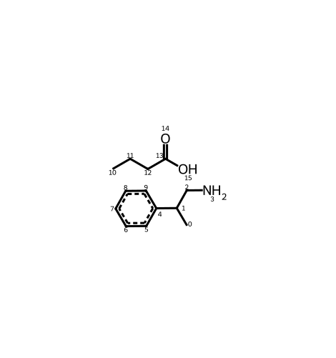 CC(CN)c1ccccc1.CCCC(=O)O